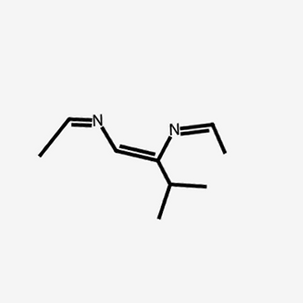 C\C=N/C=C(\N=C/C)C(C)C